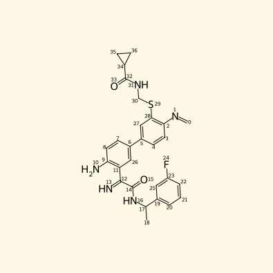 C=Nc1ccc(-c2ccc(N)c(C(=N)C(=O)NC(C)c3cccc(F)c3)c2)cc1SCNC(=O)C1CC1